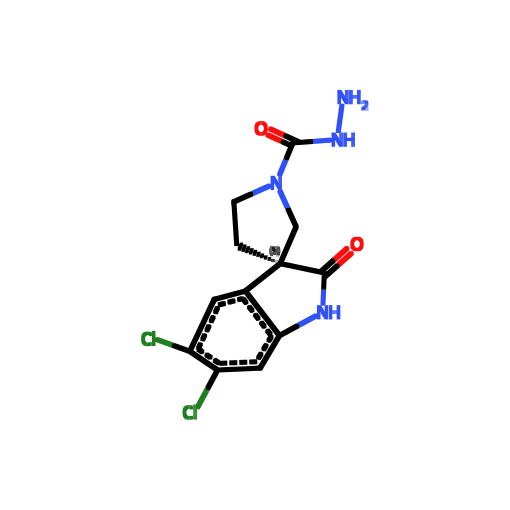 NNC(=O)N1CC[C@]2(C1)C(=O)Nc1cc(Cl)c(Cl)cc12